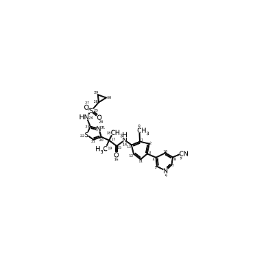 Cc1cc(-c2cncc(C#N)c2)ccc1NC(=O)C(C)(C)c1csc(NS(=O)(=O)C2CC2)n1